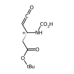 CC(C)(C)OC(=O)C[C@H](C=C=O)NC(=O)O